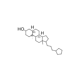 CC12CCC3[C@@H](CC[C@@H]4CC(O)CC[C@]34C)C1CCC2CCCC1CCCC1